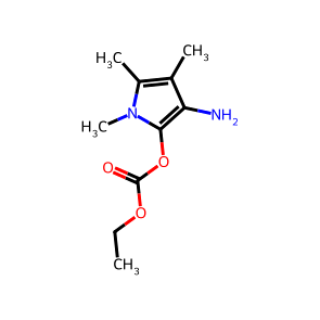 CCOC(=O)Oc1c(N)c(C)c(C)n1C